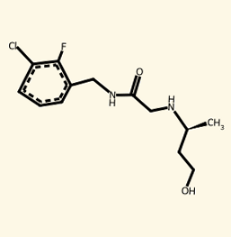 C[C@@H](CCO)NCC(=O)NCc1cccc(Cl)c1F